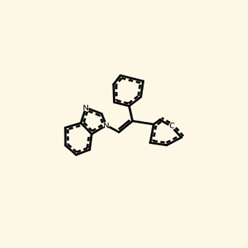 C(=C(c1ccccc1)c1ccccc1)n1cnc2ccccc21